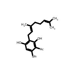 CCCc1cc(O)c(C/C=C(\C)CCC=C(C)C)c(O)c1C(C)=O